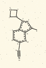 Cc1nn(C2COC2)c2ccc(C#N)nc12